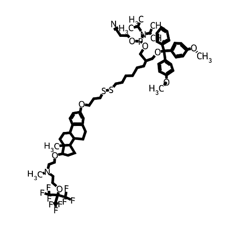 COc1ccc(C(OCC(CCCCCCSSCCCOc2ccc3c(c2)CCC2C3CCC3(C)C(OCCN(C)CCOC(C(F)(F)F)(C(F)(F)F)C(F)(F)F)CCC23)COP(OCCC#N)N(C(C)C)C(C)C)(c2ccccc2)c2ccc(OC)cc2)cc1